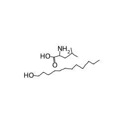 CC(C)CC(N)C(=O)O.CCCCCCCCCCCCO